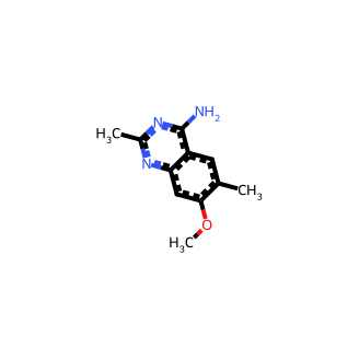 COc1cc2nc(C)nc(N)c2cc1C